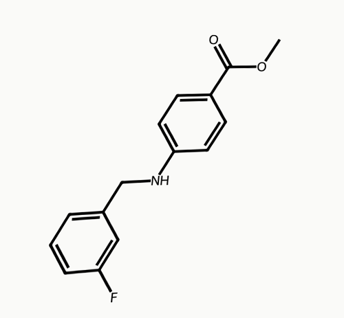 COC(=O)c1ccc(NCc2cccc(F)c2)cc1